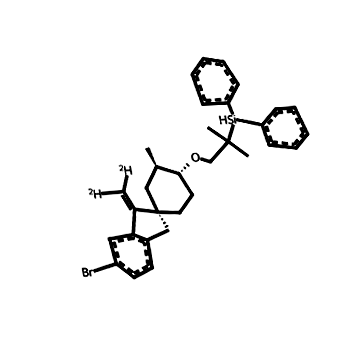 [2H]C([2H])=C1c2cc(Br)ccc2C[C@]12CC[C@@H](OCC(C)(C)[SiH](c1ccccc1)c1ccccc1)[C@H](C)C2